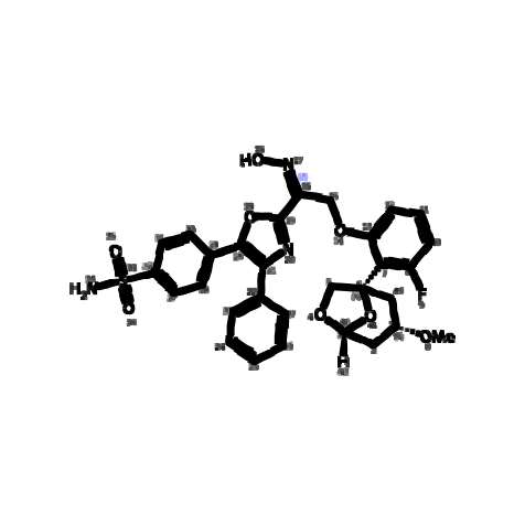 CO[C@@H]1C[C@@H]2OC[C@@](c3c(F)cccc3OC/C(=N/O)c3nc(-c4ccccc4)c(-c4ccc(S(N)(=O)=O)cc4)o3)(C1)O2